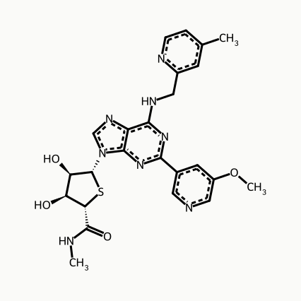 CNC(=O)[C@H]1S[C@@H](n2cnc3c(NCc4cc(C)ccn4)nc(-c4cncc(OC)c4)nc32)[C@H](O)[C@@H]1O